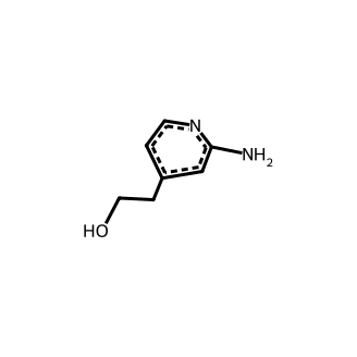 Nc1cc(CCO)ccn1